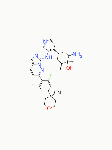 C[C@H]1C[C@@H](c2ccncc2Nc2ncc3ccc(-c4c(F)cc(C5(C#N)CCOCC5)cc4F)nn23)C[C@@H](N)[C@]1(C)O